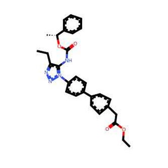 CCOC(=O)Cc1ccc(-c2ccc(-n3nnc(CC)c3NC(=O)O[C@H](C)c3ccccc3)cc2)cc1